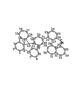 c1ccc2c(c1)-c1ccccc1C21c2ccccc2-c2cc(-c3cccc4c3-c3cccc5cccc(c35)S4)ccc21